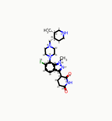 C[C@@H]1CNCC[C@@H]1CN1CCN(c2c(F)ccc3c(C4CCC(=O)NC4=O)nn(C)c23)CC1